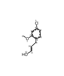 COc1cc(Cl)ccc1CC=CO